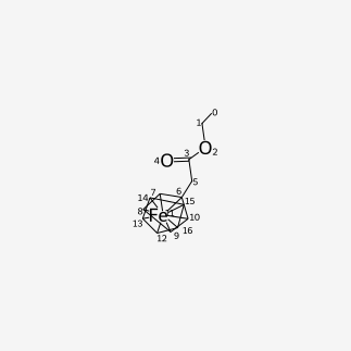 CCOC(=O)C[C]12[CH]3[CH]4[CH]5[CH]1[Fe]45321678[CH]2[CH]1[CH]6[CH]7[CH]28